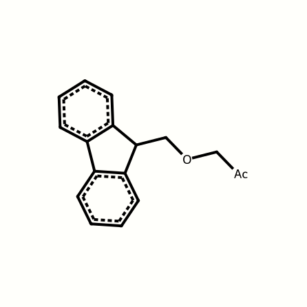 CC(=O)COCC1c2ccccc2-c2ccccc21